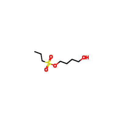 CCCS(=O)(=O)OCCCCO